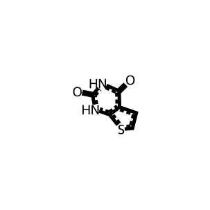 O=c1[nH]c(=O)c2ccsc2[nH]1